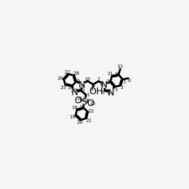 Cc1cc2ncn(CC(O)Cn3c(CS(=O)(=O)c4ccccc4)nc4ccccc43)c2cc1C